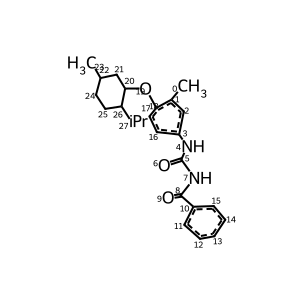 Cc1cc(NC(=O)NC(=O)c2ccccc2)ccc1OC1CC(C)CCC1C(C)C